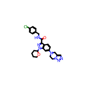 O=C(NCc1ccc(Cl)cc1)c1nn(C2CCCCO2)c2cc(N3CCn4nncc4C3)ccc12